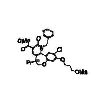 COCCCOc1cc2c(cc1Cl)-c1c(cc(C(=O)OC)c(=O)n1Cc1ccccc1)[C@H](C(C)C)CO2